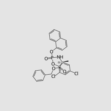 C[C@H](NP(=O)(Oc1ccc(Cl)cc1Cl)Oc1cccc2ccccc12)C(=O)OCc1ccccc1